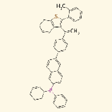 C=C(c1ccc(-c2ccc3cc(P(c4ccccc4)C4C=CCCC4)ccc3c2)cc1)c1c(-c2ccccc2C)sc2c1C=CCC2